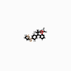 C[SiH](C)Oc1ccccc1C(c1ccc(Sc2cccs2)cc1)C(C)(C)C